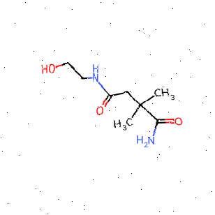 CC(C)([CH]C(=O)NCCO)C(N)=O